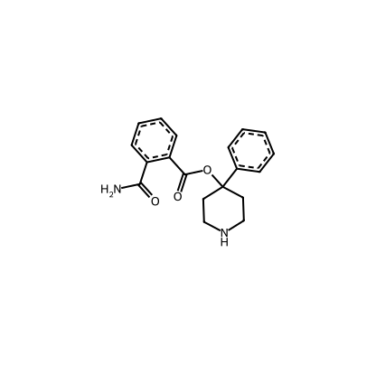 NC(=O)c1ccccc1C(=O)OC1(c2ccccc2)CCNCC1